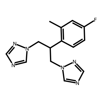 Cc1cc(F)ccc1C(Cn1cncn1)Cn1cncn1